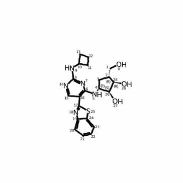 OC[C@H]1C[C@@H](Nc2nc(NC3CCC3)ncc2-c2nc3ccccc3s2)[C@H](O)[C@@H]1O